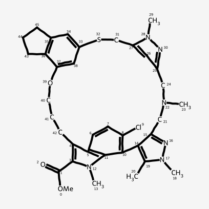 COC(=O)c1c2c3ccc(Cl)c(c3n1C)-c1c(nn(C)c1C)CN(C)Cc1cc(n(C)n1)CSc1cc3c(c(c1)OCCC2)CCC3